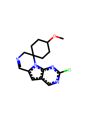 COC1CCC2(CC1)CN=Cc1cc3cnc(Cl)nc3n12